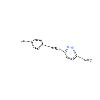 CCCCCCCc1ccc(C#Cc2ccc(CCC)cc2)nn1